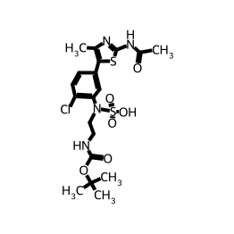 CC(=O)Nc1nc(C)c(-c2ccc(Cl)c(N(CCNC(=O)OC(C)(C)C)S(=O)(=O)O)c2)s1